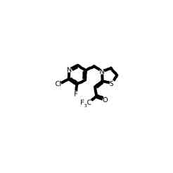 O=C(/C=C1\SCCN1Cc1cnc(Cl)c(F)c1)C(F)(F)F